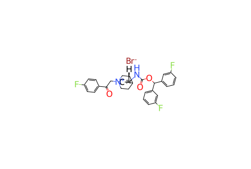 O=C(N[C@H]1C[N+]2(CC(=O)c3ccc(F)cc3)CCC1CC2)OC(c1cccc(F)c1)c1cccc(F)c1.[Br-]